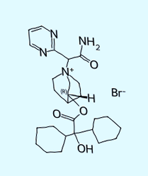 NC(=O)C(c1ncccn1)[N+]12CCC(CC1)[C@@H](OC(=O)C(O)(C1CCCCC1)C1CCCCC1)C2.[Br-]